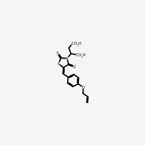 C=CCOc1ccc(C=C2SC(=S)N(C(CC(=O)O)C(=O)O)C2=O)cc1